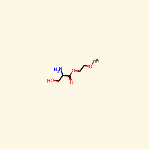 CCCOCCOC(=O)C(N)CO